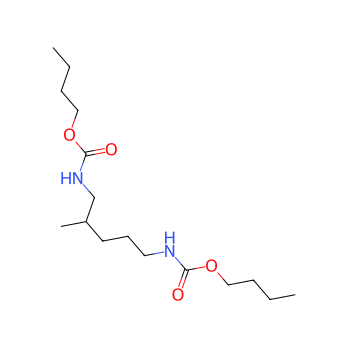 CCCCOC(=O)NCCCC(C)CNC(=O)OCCCC